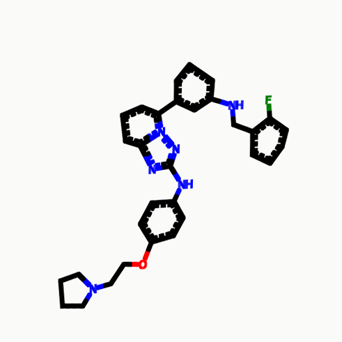 Fc1ccccc1CNc1cccc(-c2cccc3nc(Nc4ccc(OCCN5CCCC5)cc4)nn23)c1